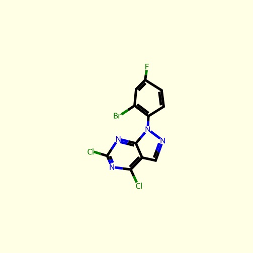 Fc1ccc(-n2ncc3c(Cl)nc(Cl)nc32)c(Br)c1